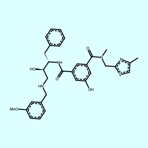 COc1cccc(CNC[C@@H](O)[C@H](Cc2ccccc2)NC(=O)c2cc(O)cc(C(=O)N(C)Cc3nc(C)cs3)c2)c1